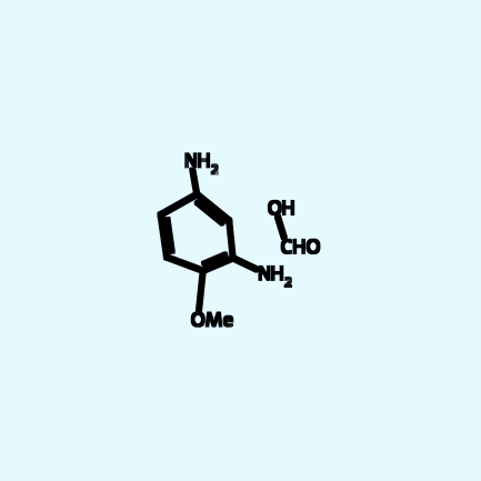 COc1ccc(N)cc1N.O=CO